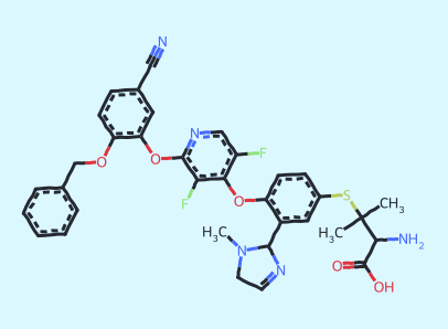 CN1CC=NC1c1cc(SC(C)(C)C(N)C(=O)O)ccc1Oc1c(F)cnc(Oc2cc(C#N)ccc2OCc2ccccc2)c1F